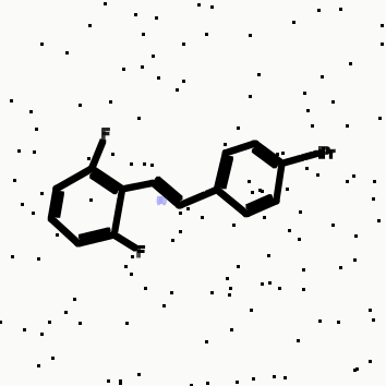 CC(C)c1ccc(/C=C/c2c(F)cccc2F)cc1